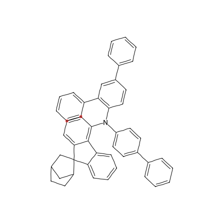 c1ccc(-c2ccc(N(c3ccc(-c4ccccc4)cc3-c3ccccc3)c3cccc4c3-c3ccccc3C43CC4CCC3C4)cc2)cc1